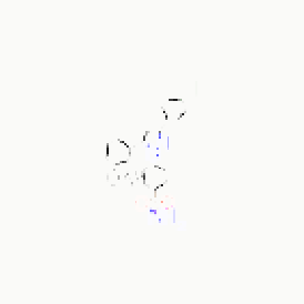 COc1cccc(-c2cc(-c3ccc(Cl)cc3)nn2-c2ccc(S(N)(=O)=O)cc2)c1